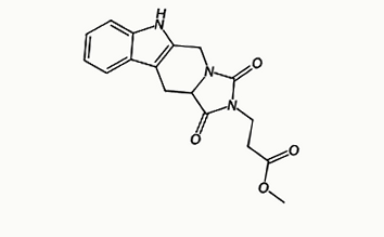 COC(=O)CCN1C(=O)C2Cc3c([nH]c4ccccc34)CN2C1=O